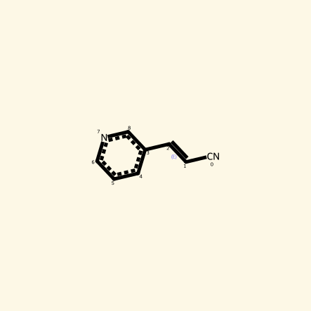 N#C/C=C/c1cccnc1